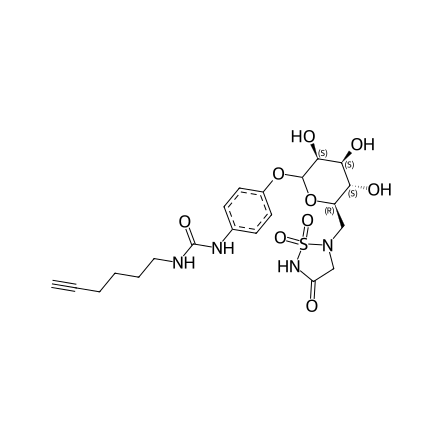 C#CCCCCNC(=O)Nc1ccc(OC2O[C@H](CN3CC(=O)NS3(=O)=O)[C@@H](O)[C@H](O)[C@@H]2O)cc1